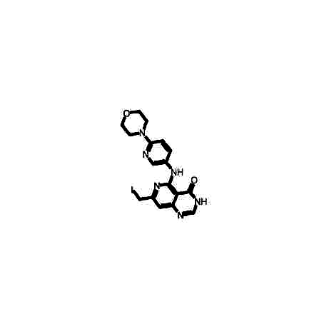 O=c1[nH]cnc2cc(CI)nc(Nc3ccc(N4CCOCC4)nc3)c12